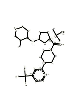 CC1COCCC1N[C@H]1CC[C@](C(=O)N2CCN(c3cc(C(F)(F)F)ccn3)CC2)(C(C)(C)O)C1